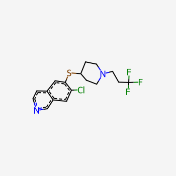 FC(F)(F)CCN1CCC(Sc2cc3ccncc3cc2Cl)CC1